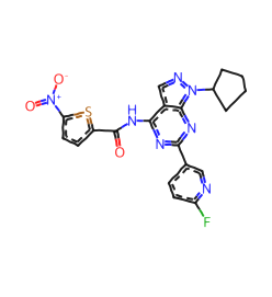 O=C(Nc1nc(-c2ccc(F)nc2)nc2c1cnn2C1CCCC1)c1ccc([N+](=O)[O-])s1